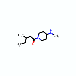 CCC(C)CC(=O)N1CCC(NC)CC1